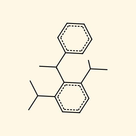 C[C](c1ccccc1)c1c(C(C)C)cccc1C(C)C